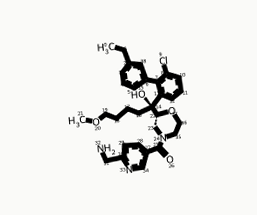 CCc1cccc(-c2c(Cl)cccc2[C@@](O)(CCCCOC)[C@H]2CN(C(=O)c3ccc(CN)nc3)CCO2)c1